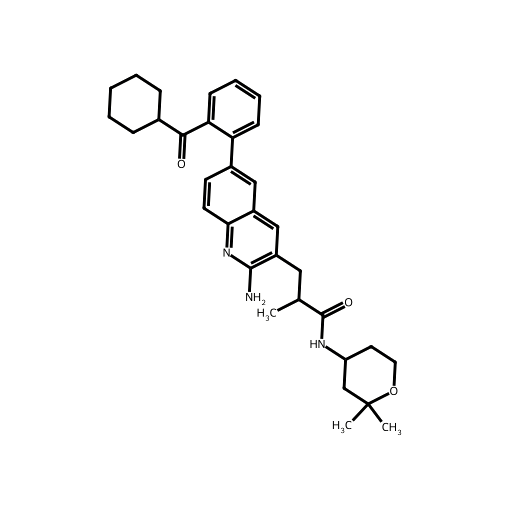 CC(Cc1cc2cc(-c3ccccc3C(=O)C3CCCCC3)ccc2nc1N)C(=O)NC1CCOC(C)(C)C1